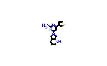 Nc1nc(-c2ccsc2)cc(N2CC3CCCNC3C2)n1